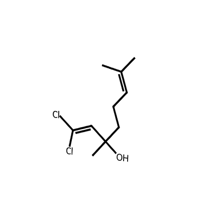 CC(C)=CCCC(C)(O)C=C(Cl)Cl